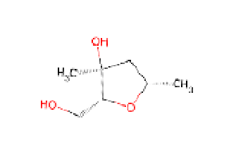 C[C@H]1C[C@](C)(O)[C@@H](CO)O1